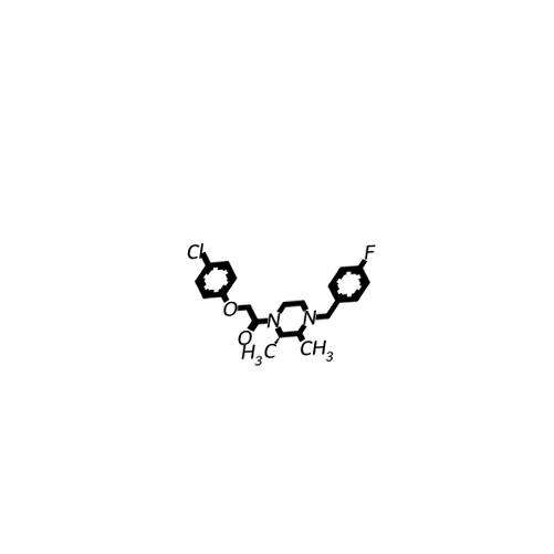 CC1[C@H](C)N(C(=O)COc2ccc(Cl)cc2)CCN1Cc1ccc(F)cc1